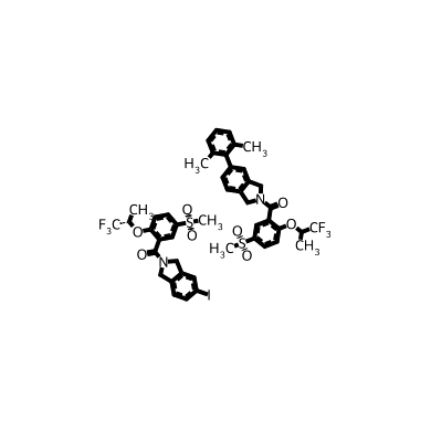 C[C@H](Oc1ccc(S(C)(=O)=O)cc1C(=O)N1Cc2ccc(I)cc2C1)C(F)(F)F.Cc1cccc(C)c1-c1ccc2c(c1)CN(C(=O)c1cc(S(C)(=O)=O)ccc1OC(C)C(F)(F)F)C2